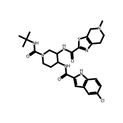 CN1CCc2nc(C(=O)NC3CN(C(=O)NC(C)(C)C)CCC3NC(=O)c3cc4cc(Cl)ccc4[nH]3)sc2C1